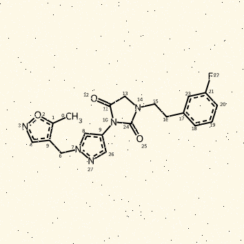 Cc1oncc1Cn1cc(N2C(=O)CN(CCc3cccc(F)c3)C2=O)cn1